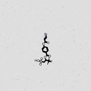 O=C(/C=C/Br)Oc1ccc(C(=O)OC(CS(=O)(=O)O)C(F)(F)F)cc1